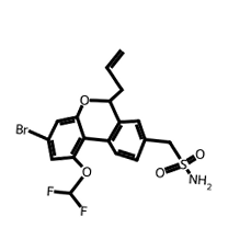 C=CCC1Oc2cc(Br)cc(OC(F)F)c2-c2ccc(CS(N)(=O)=O)cc21